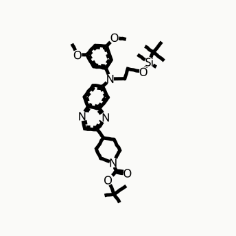 COc1cc(OC)cc(N(CCO[Si](C)(C)C(C)(C)C)c2ccc3ncc(C4CCN(C(=O)OC(C)(C)C)CC4)nc3c2)c1